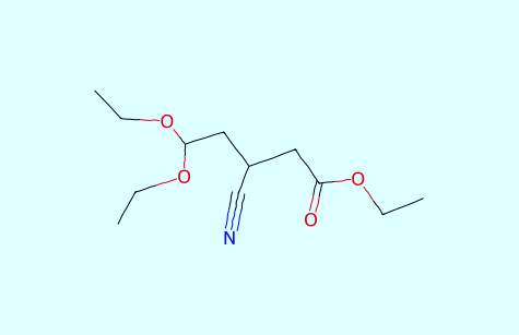 CCOC(=O)CC(C#N)CC(OCC)OCC